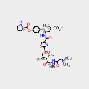 CCCCN(C)CC(=O)N[C@H](C(=O)C[C@H](C[C@@H](OCCC)c1nc(C(=O)N[C@@H](Cc2ccc(OC(=O)[C@H]3CCCN3)cc2)C[C@H](C)C(=O)O)cs1)C(C)C)[C@@H](C)CC